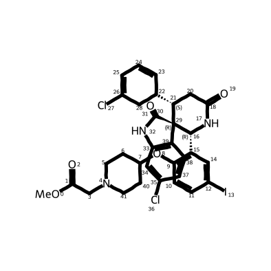 COC(=O)CN1CCC(Oc2ccc(I)cc2[C@H]2NC(=O)C[C@@H](C3C=CC=C(Cl)C3)[C@]23C(=O)Nc2cc(Cl)ccc23)CC1